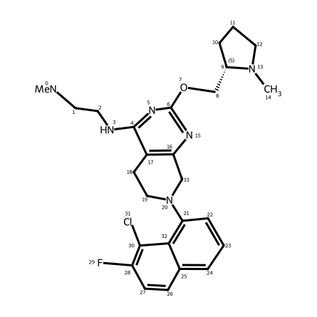 CNCCNc1nc(OC[C@@H]2CCCN2C)nc2c1CCN(c1cccc3ccc(F)c(Cl)c13)C2